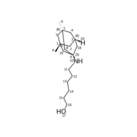 C[C@]12C[C@@H]3C[C@](C)(C1)C[C@](NCCCCCCO)(C3)C2